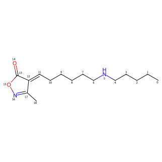 CCCCCNCCCCCC=C1C(=O)ON=C1C